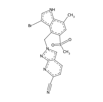 Cc1cc(S(C)(=O)=O)c(Cn2cc3ccc(C#N)nc3n2)c2c(Br)c[nH]c12